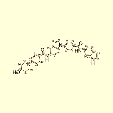 O=C(Nc1ccc2c(ccn2-c2ccc(C(=O)Nc3ccc4cc[nH]c4c3)cc2)c1)c1ccc(N2CCC(O)CC2)cc1